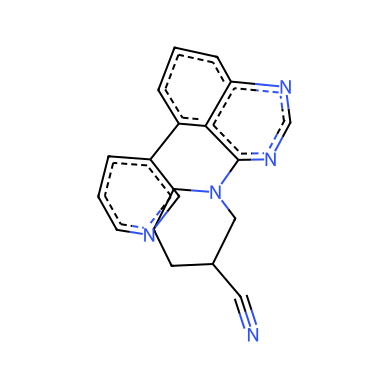 N#CC1CCCN(c2ncnc3cccc(-c4cccnc4)c23)C1